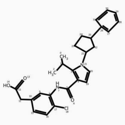 CC(C)c1c(C(=O)Nc2cc(CC(=O)O)ccc2Cl)ccn1C1CCC(c2ccccc2)C1